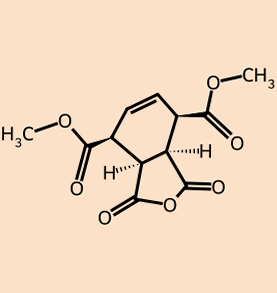 COC(=O)[C@H]1C=C[C@@H](C(=O)OC)[C@H]2C(=O)OC(=O)[C@H]21